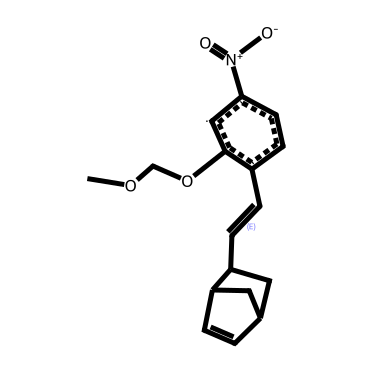 COCOc1[c]c([N+](=O)[O-])ccc1/C=C/C1CC2C=CC1C2